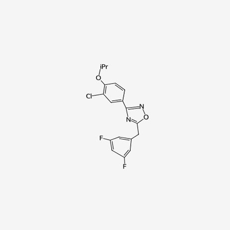 CC(C)Oc1ccc(-c2noc(Cc3cc(F)cc(F)c3)n2)cc1Cl